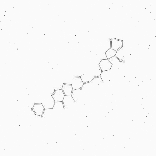 C=N/C(=C\N=C(/C)N1CCC2(CC1)Cc1ncccc1[C@H]2N)Sc1ccc2ncn(Cc3ccncn3)c(=O)c2c1Cl